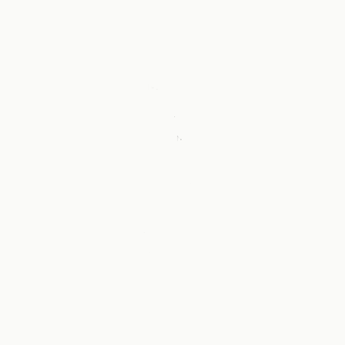 CC(C)(C)OC(=O)N1CCC(Cc2cc#ccc2)CC1